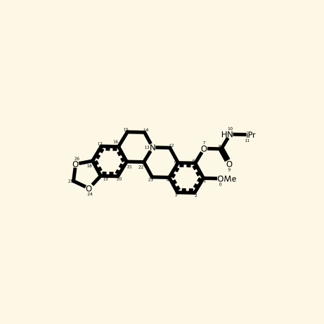 COc1ccc2c(c1OC(=O)NC(C)C)CN1CCc3cc4c(cc3C1C2)OCO4